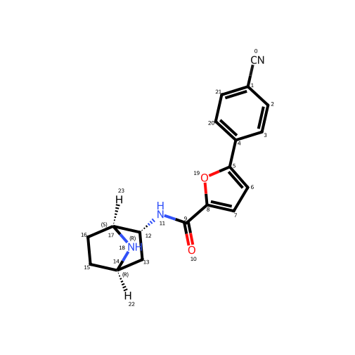 N#Cc1ccc(-c2ccc(C(=O)N[C@@H]3C[C@H]4CC[C@@H]3N4)o2)cc1